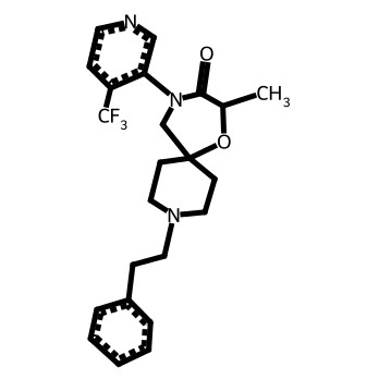 CC1OC2(CCN(CCc3ccccc3)CC2)CN(c2cnccc2C(F)(F)F)C1=O